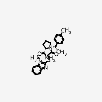 Cc1ccc([C@H](C)[N+]2(C(=O)CSc3nc4ccccc4n3C)CCC[C@H]2C(N)=O)cc1